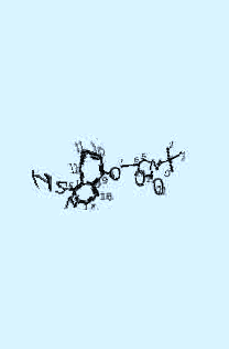 CC(C)(C)N1CC(COc2cccc3c(S)nccc23)OC1=O